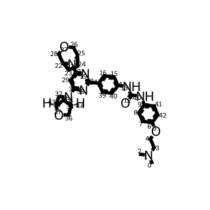 CN(C)CCOc1ccc(NC(=O)Nc2ccc(-c3nc(N4C5CCC4COC5)cc(N4C[C@H]5C[C@@H]4CO5)n3)cc2)cc1